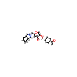 CC(=O)[C@H]1CC[C@H](COc2coc(CN3Cc4ccccc4C3)cc2=O)CC1